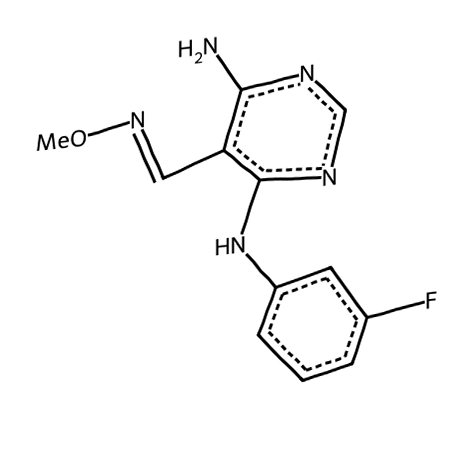 CO/N=C/c1c(N)ncnc1Nc1cccc(F)c1